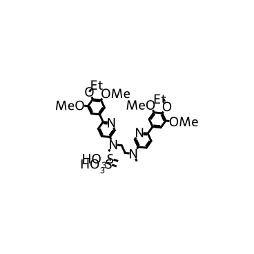 CCOc1c(OC)cc(-c2ccc(N(C)CCN(C)c3ccc(-c4cc(OC)c(OCC)c(OC)c4)nc3)cn2)cc1OC.CS(=O)(=O)O.CS(=O)(=O)O